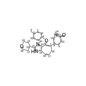 Cc1ccc(OC2=C(c3ccc(=O)n(C)c3)CC=Cc3[nH]c(C4CCOCC4)nc32)cc1